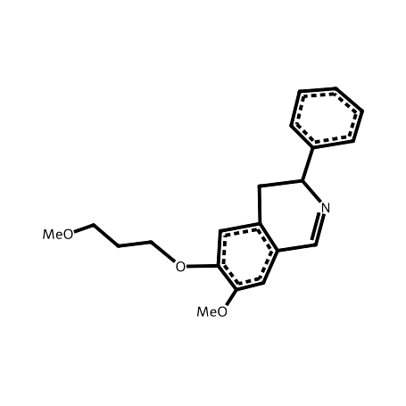 COCCCOc1cc2c(cc1OC)C=NC(c1ccccc1)C2